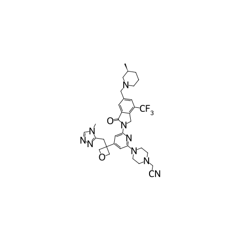 C[C@H]1CCCN(Cc2cc3c(c(C(F)(F)F)c2)CN(c2cc(C4(Cc5nncn5C)COC4)cc(N4CCN(CC#N)CC4)n2)C3=O)C1